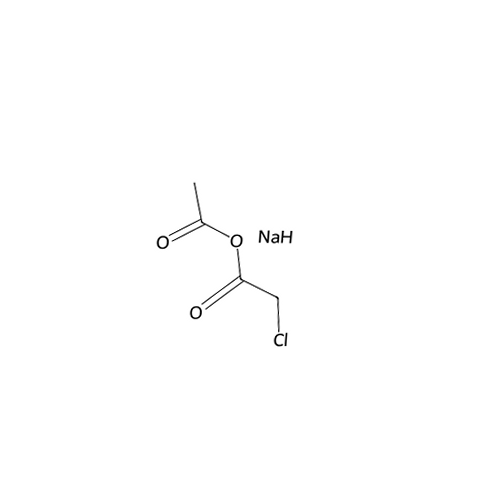 CC(=O)OC(=O)CCl.[NaH]